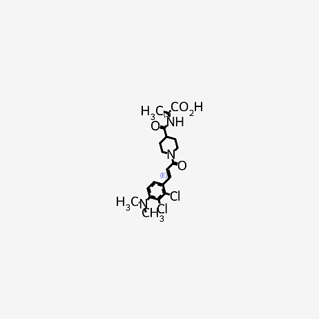 C[C@H](NC(=O)C1CCN(C(=O)/C=C/c2ccc(N(C)C)c(Cl)c2Cl)CC1)C(=O)O